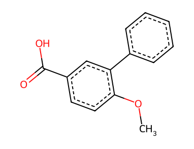 COc1ccc(C(=O)O)cc1-c1ccccc1